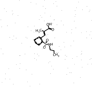 CCCNS(=O)(=O)c1ccccc1/C=C(\C)C(=O)O